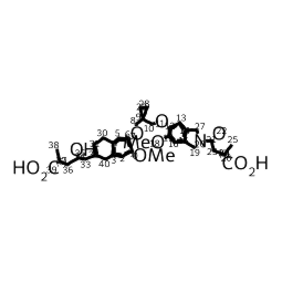 COc1cc2c(cc1OCC1(COc3cc4c(cc3OC)CN(C(=O)C[C@H](C)C(=O)O)C4)CC1)CC=C(CC(O)C[C@H](C)C(=O)O)C2